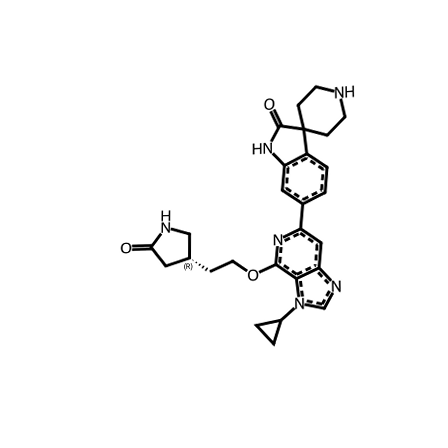 O=C1C[C@@H](CCOc2nc(-c3ccc4c(c3)NC(=O)C43CCNCC3)cc3ncn(C4CC4)c23)CN1